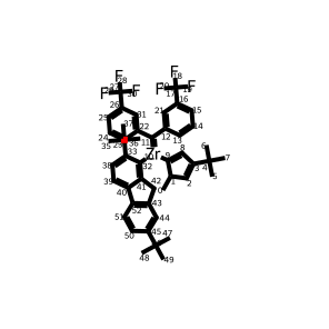 CC1C=C(C(C)(C)C)C=[C]1[Zr](=[C](c1cccc(C(F)(F)F)c1)c1cccc(C(F)(F)F)c1)[c]1c(C(C)(C)C)ccc2c1Cc1cc(C(C)(C)C)ccc1-2